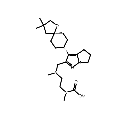 CN(CCN(C)C(=O)O)Cc1nn2c(c1[C@H]1CC[C@]3(CC1)CC(C)(C)CO3)CCC2